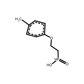 Cc1ccc(OCC[PH](=O)O)cc1